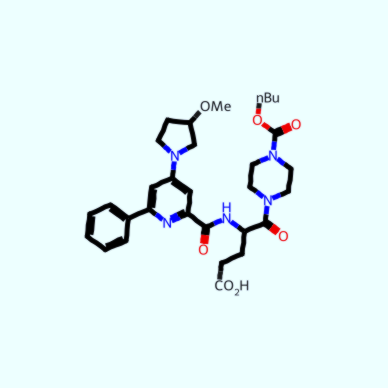 CCCCOC(=O)N1CCN(C(=O)C(CCC(=O)O)NC(=O)c2cc(N3CCC(OC)C3)cc(-c3ccccc3)n2)CC1